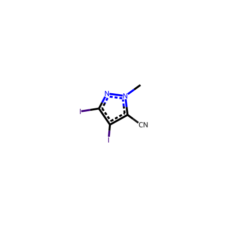 Cn1nc(I)c(I)c1C#N